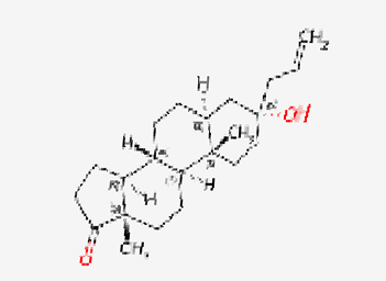 C=CC[C@@]1(O)CC[C@@]2(C)[C@@H](CC[C@@H]3[C@@H]2CC[C@]2(C)C(=O)CC[C@@H]32)C1